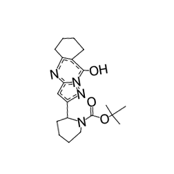 CC(C)(C)OC(=O)N1CCCCC1c1cc2nc3c(c(O)n2n1)CCCC3